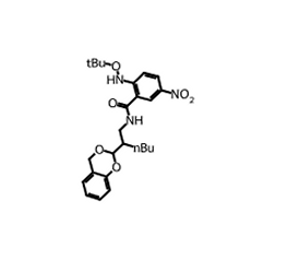 CCCCC(CNC(=O)c1cc([N+](=O)[O-])ccc1NOC(C)(C)C)C1OCc2ccccc2O1